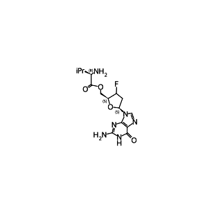 CC(C)[C@@H](N)C(=O)OC[C@@H]1O[C@H](n2cnc3c(=O)[nH]c(N)nc32)CC1F